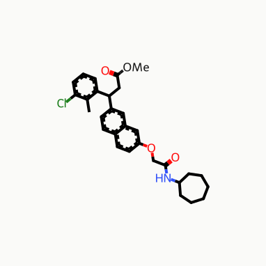 COC(=O)CC(c1ccc2ccc(OCC(=O)NC3CCCCCC3)cc2c1)c1cccc(Cl)c1C